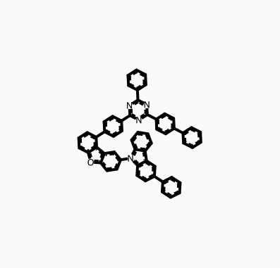 c1ccc(-c2ccc(-c3nc(-c4ccccc4)nc(-c4ccc(-c5cccc6oc7ccc(-n8c9ccccc9c9cc(-c%10ccccc%10)ccc98)cc7c56)cc4)n3)cc2)cc1